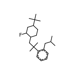 CC(C)Cc1ccccc1C(C)(C)CC1CCC(C(C)(C)C)CC1F